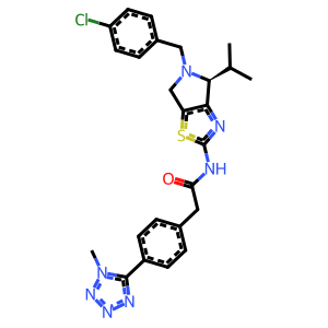 CC(C)[C@H]1c2nc(NC(=O)Cc3ccc(-c4nnnn4C)cc3)sc2CN1Cc1ccc(Cl)cc1